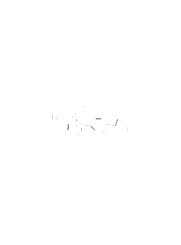 C[C@@H]1C2=CCC(C(=O)O)C=C2OCCN1C(=O)O